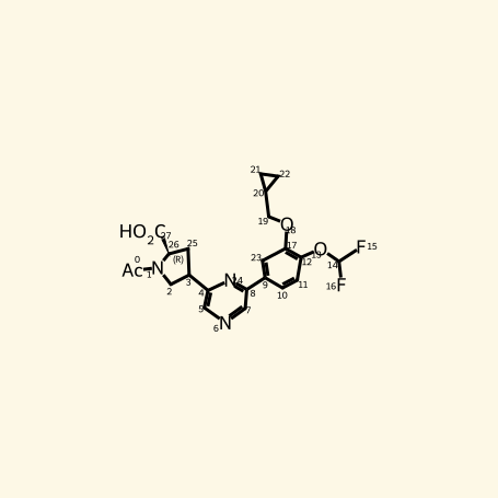 CC(=O)N1CC(c2cncc(-c3ccc(OC(F)F)c(OCC4CC4)c3)n2)C[C@@H]1C(=O)O